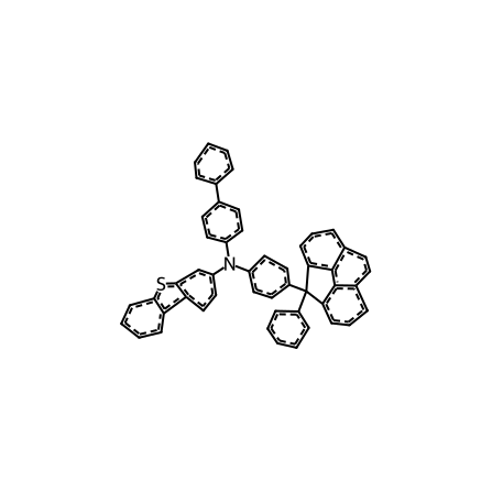 c1ccc(-c2ccc(N(c3ccc(C4(c5ccccc5)c5cccc6ccc7cccc4c7c56)cc3)c3ccc4c(c3)sc3ccccc34)cc2)cc1